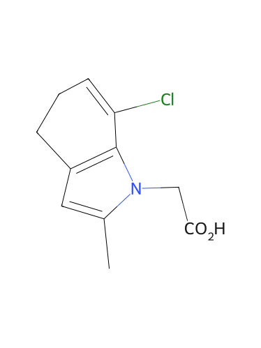 Cc1cc2c(n1CC(=O)O)C(Cl)=CCC2